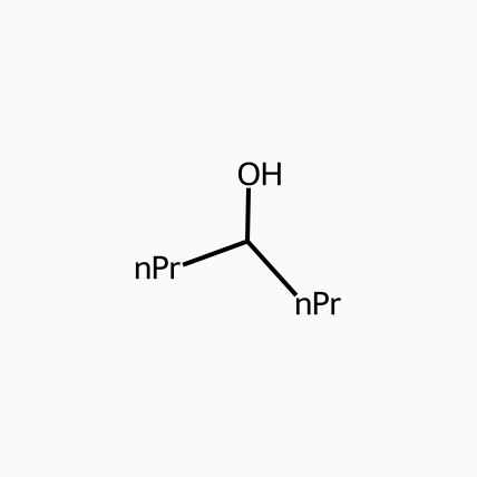 [CH2]CCC(O)CC[CH2]